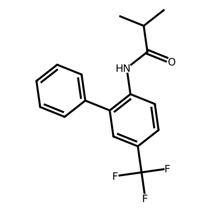 CC(C)C(=O)Nc1ccc(C(F)(F)F)cc1-c1ccccc1